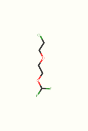 FC(F)OCCOCCCl